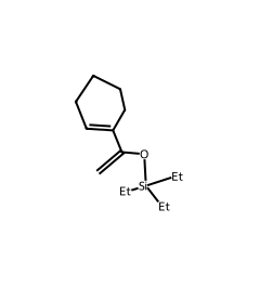 C=C(O[Si](CC)(CC)CC)C1=CCCCC1